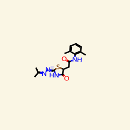 CC(C)=N/N=C1\NC(=O)C(CC(=O)Nc2c(C)cccc2C)S1